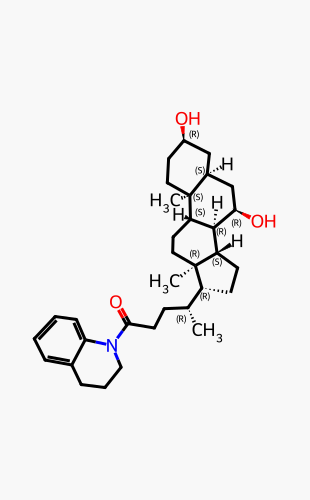 C[C@H](CCC(=O)N1CCCc2ccccc21)[C@H]1CC[C@H]2[C@@H]3[C@H](O)C[C@@H]4C[C@H](O)CC[C@]4(C)[C@H]3CC[C@]12C